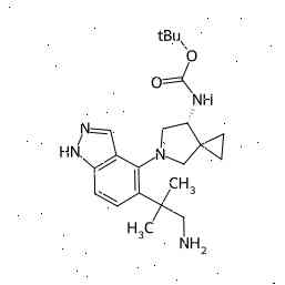 CC(C)(C)OC(=O)N[C@H]1CN(c2c(C(C)(C)CN)ccc3[nH]ncc23)CC12CC2